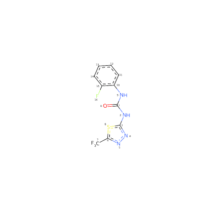 O=C(Nc1nnc(C(F)(F)F)s1)Nc1ccccc1F